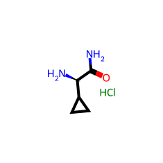 Cl.NC(=O)[C@H](N)C1CC1